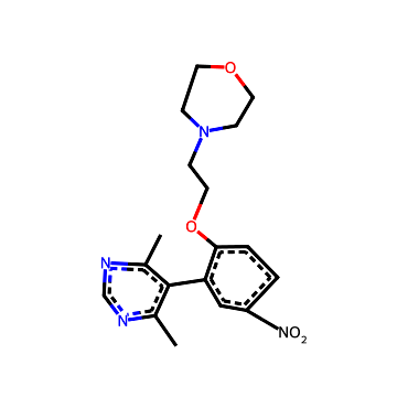 Cc1ncnc(C)c1-c1cc([N+](=O)[O-])ccc1OCCN1CCOCC1